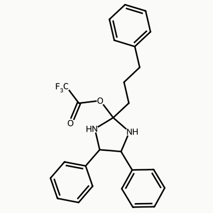 O=C(OC1(CCCc2ccccc2)NC(c2ccccc2)C(c2ccccc2)N1)C(F)(F)F